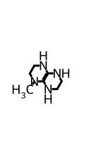 CN1CCNC2=C1NCCN2